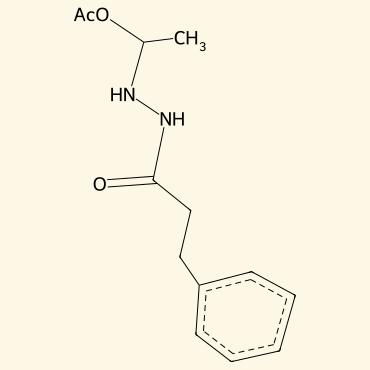 CC(=O)OC(C)NNC(=O)CCc1ccccc1